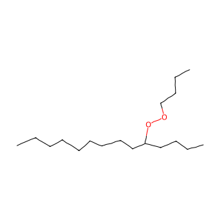 CCCCCCCCCC(CCCC)OOCCCC